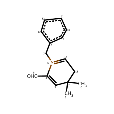 CC1(C)C=C(C=O)S(Cc2ccccc2)=CC1